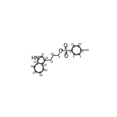 Cc1ccc(S(=O)(=O)OCCCc2c[nH]c3ccccc23)cc1